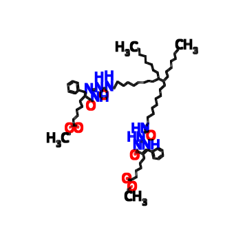 CCCCCCCCC(CCCCCCCCCNC(=O)Nc1nc(=O)c(CCCCCC(=O)OCC)c(-c2ccccc2)[nH]1)C(CCCCCCCC)CCCCCCCCCNC(=O)Nc1nc(-c2ccccc2)c(CCCCCC(=O)OCC)c(=O)[nH]1